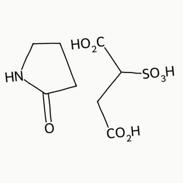 O=C(O)CC(C(=O)O)S(=O)(=O)O.O=C1CCCN1